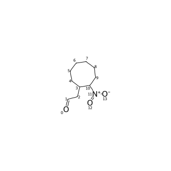 O=CCC1CCCCCCC1[N+](=O)[O-]